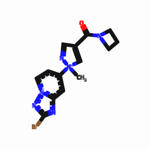 C[N+]1(c2ccn3nc(Br)nc3c2)C=C(C(=O)N2CCC2)C=N1